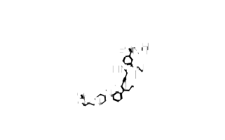 CNC(=O)c1cc(OCC(F)(F)F)c(NCC#Cc2sc3c(NC4CCN(CC5COC(=O)O5)CC4)cccc3c2CC(F)(F)F)cc1F